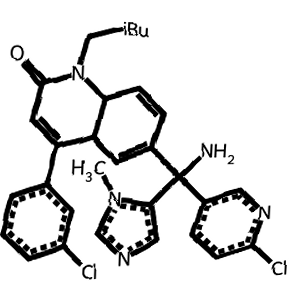 CCC(C)CN1C(=O)C=C(c2cccc(Cl)c2)C2C=C(C(N)(c3ccc(Cl)nc3)c3cncn3C)C=CC21